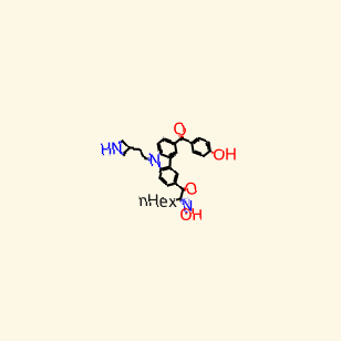 CCCCCC/C(=N\O)C(=O)c1ccc2c(c1)c1cc(C(=O)c3ccc(O)cc3)ccc1n2CCC1CNC1